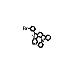 Brc1cccc(-c2nc3ccccc3c3c2ccc2c4ccccc4n(-c4ccccc4)c23)c1